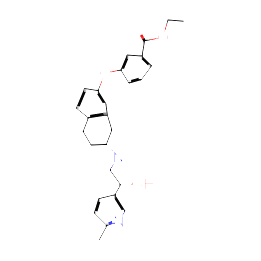 CCOC(=O)c1cccc(Oc2ccc3c(c2)C[C@@H](NC[C@H](O)c2ccc(C)nc2)CC3)c1